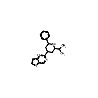 CC(C)C1CC(c2ncc3nccc-3[nH]2)CC(c2ccccc2)N1